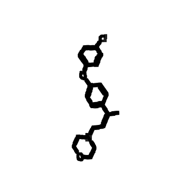 CC(=CCN1CCOCC1)c1ccc(Oc2ccc(Cl)cc2)cc1